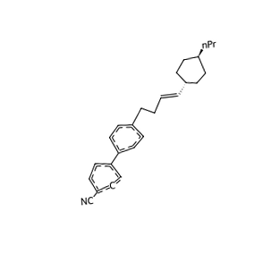 CCC[C@H]1CC[C@H](C=CCCc2ccc(-c3ccc(C#N)cc3)cc2)CC1